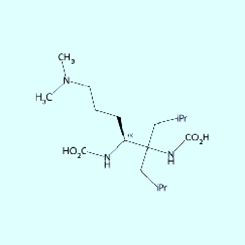 CC(C)CC(CC(C)C)(NC(=O)O)[C@H](CCCN(C)C)NC(=O)O